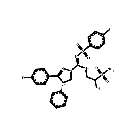 CC(CN/C(=N\S(=O)(=O)c1ccc(F)cc1)N1C[C@H](c2ccccc2)C(c2ccc(F)cc2)=N1)S(N)(=O)=O